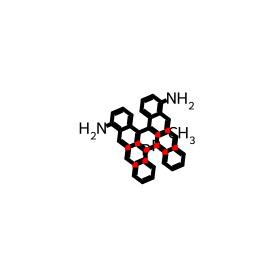 Cc1cc2c(N)cccc2c(-c2c(P(c3ccccc3)c3ccccc3)ccc3c(N)cccc23)c1P(c1ccccc1)c1ccccc1